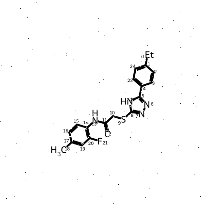 CCc1ccc(-c2nnc(SCC(=O)Nc3ccc(C)cc3F)[nH]2)cc1